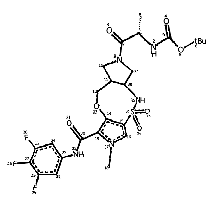 C[C@H](NC(=O)OC(C)(C)C)C(=O)N1CC2COc3c(cn(C)c3C(=O)Nc3cc(F)c(F)c(F)c3)S(=O)(=O)NC2C1